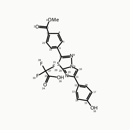 COC(=O)c1ccc(-c2nn3cc(-c4ccc(O)cc4)nc3s2)cc1.O=C(O)C(F)(F)F